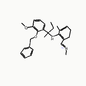 CCC(C)(PC1=C(/C=N/C)CCC=C1C)c1cccc(OC)c1OCc1ccccc1